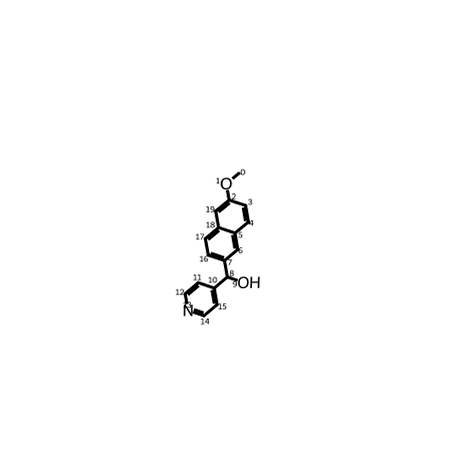 COc1ccc2cc(C(O)c3ccncc3)ccc2c1